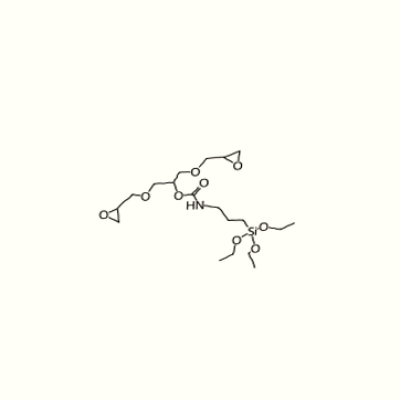 CCO[Si](CCCNC(=O)OC(COCC1CO1)COCC1CO1)(OCC)OCC